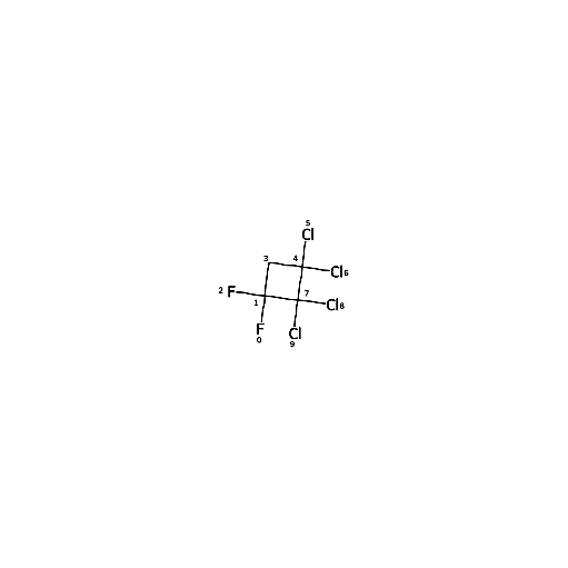 FC1(F)CC(Cl)(Cl)C1(Cl)Cl